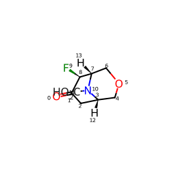 O=C1C[C@H]2COC[C@@H]([C@@H]1F)N2C(=O)O